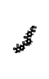 CC1Sc2ccc(C(=O)Nc3cccc([S+]([O-])N4CCN(C(=O)OC(C)(C)C)CC4)c3)cc2NC1=O